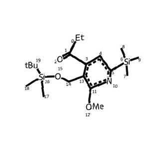 CCC(=O)c1cc([Si](C)(C)C)nc(OC)c1CO[Si](C)(C)C(C)(C)C